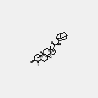 CN1C(=O)CC[C@@]2(C)C1CC[C@@H]1[C@H]2CC[C@]2(C)C(C(=O)NC3C4CC5CC(C4)CC3C5)CC[C@@H]12